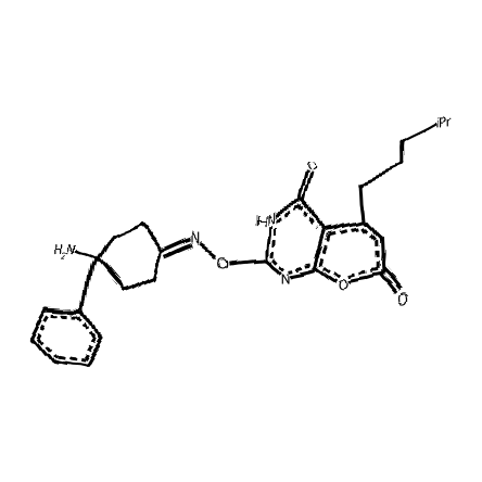 CC(C)CCCc1cc(=O)oc2nc(ON=C3CCC(N)(c4ccccc4)CC3)[nH]c(=O)c12